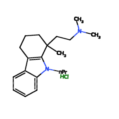 CCCn1c2c(c3ccccc31)CCCC2(C)CCN(C)C.Cl